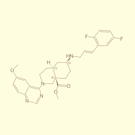 COC(=O)[C@]12CC[C@H](NCC=Cc3cc(F)ccc3F)C[C@@H]1CCN(c1ncnc3ccc(OC)cc13)C2